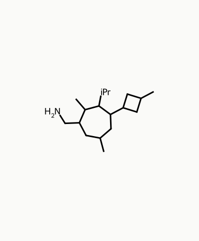 CC1CC(C2CC(C)CC(CN)C(C)C2C(C)C)C1